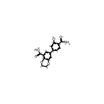 NC(=O)c1ccc(-c2cc3c(c(C(=O)O)c2)OCCO3)cc1Cl